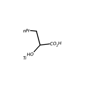 CCCCC(O)C(=O)O.[Ti]